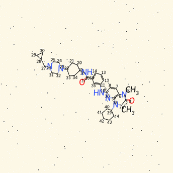 C[C@@H]1C(=O)N(C)c2ccc(Nc3cccc(C(=O)NC4CCC(N5CCN(CC6CC6)CC5)CC4)c3)nc2N1C1CCCCC1